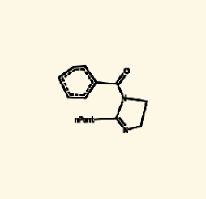 CCCCCC1=NCCN1C(=O)c1ccccc1